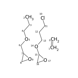 C=C.CCCOCC1CO1.ClCCCOC1CO1